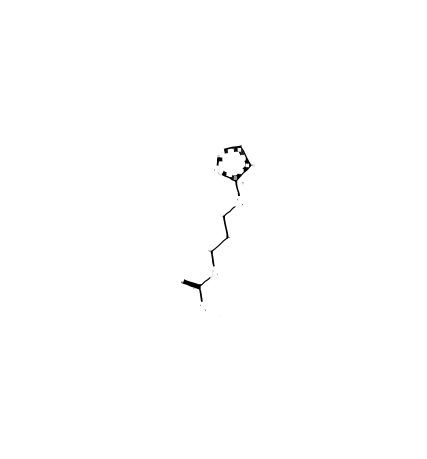 NC(=S)NCCCNc1ccsn1